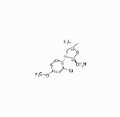 C[C@]1(C(F)(F)F)C[C@@H](c2ccc(OC(F)(F)F)cc2Cl)[C@H](C(=O)O)O1